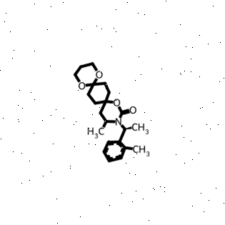 Cc1ccccc1[C@H](C)N1C(=O)OC2(CCC3(CC2)OCCCO3)CC1C